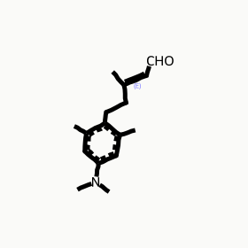 C/C(=C\C=O)CCc1c(C)cc(N(C)C)cc1C